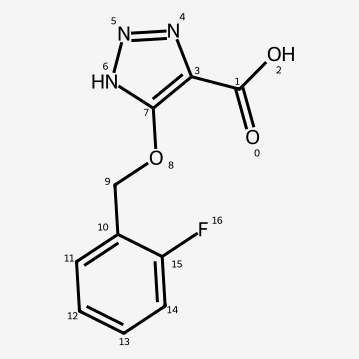 O=C(O)c1nn[nH]c1OCc1ccccc1F